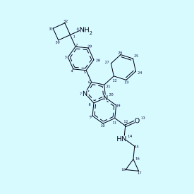 NC1(c2ccc(-c3nc4ccc(C(=O)NCC5CC5)cn4c3C3C=CC=CC3)cc2)CCC1